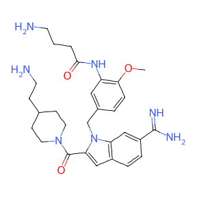 COc1ccc(Cn2c(C(=O)N3CCC(CCN)CC3)cc3ccc(C(=N)N)cc32)cc1NC(=O)CCCN